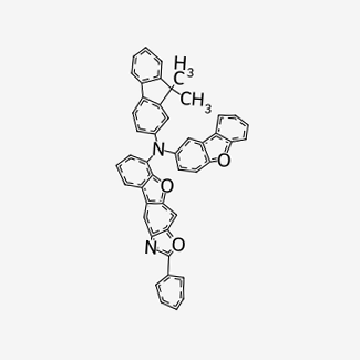 CC1(C)c2ccccc2-c2ccc(N(c3ccc4oc5ccccc5c4c3)c3cccc4c3oc3cc5oc(-c6ccccc6)nc5cc34)cc21